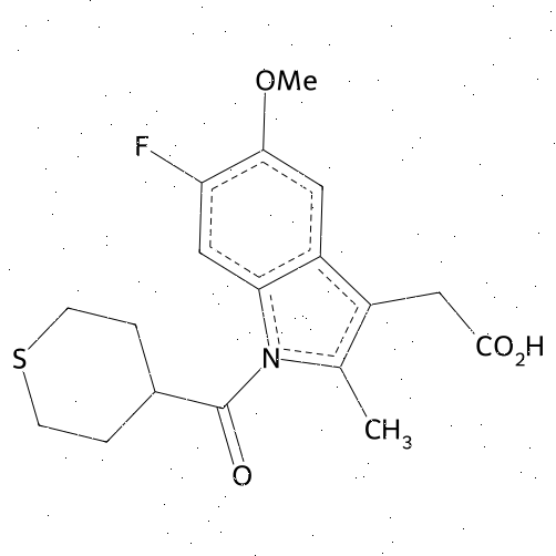 COc1cc2c(CC(=O)O)c(C)n(C(=O)C3CCSCC3)c2cc1F